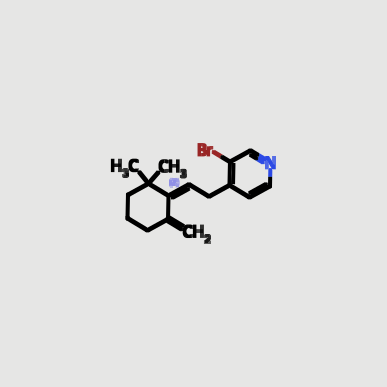 C=C1CCCC(C)(C)/C1=C/Cc1ccncc1Br